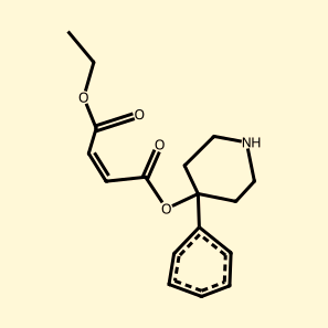 CCOC(=O)/C=C\C(=O)OC1(c2ccccc2)CCNCC1